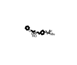 CCCCN(OOc1ccc(CCNCC(O)COc2ccccc2)cc1)C(C)=O.Cl